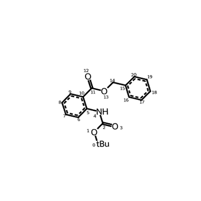 CC(C)(C)OC(=O)Nc1ccccc1C(=O)OCc1ccccc1